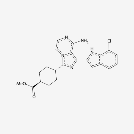 COC(=O)[C@H]1CC[C@H](c2nc(-c3cc4cccc(Cl)c4[nH]3)c3c(N)nccn32)CC1